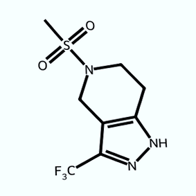 CS(=O)(=O)N1CCc2[nH]nc(C(F)(F)F)c2C1